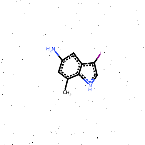 Cc1cc(N)cc2c(I)c[nH]c12